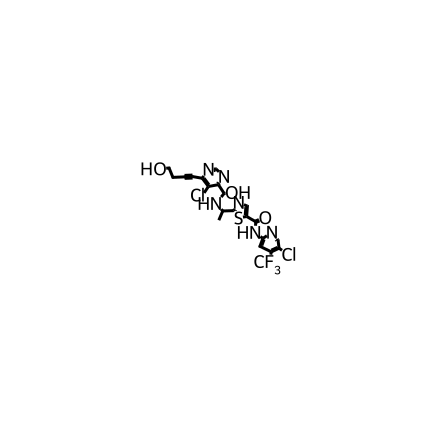 CC(NC(O)c1ncnc(C#CCCO)c1Cl)c1ncc(C(=O)Nc2cc(C(F)(F)F)c(Cl)cn2)s1